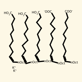 CCCCCCCC/C=C\CCCCCCCC(=O)O.CCCCCCCC/C=C\CCCCCCCC(=O)O.CCCCCCCC/C=C\CCCCCCCC(=O)O.CCCCCCCC/C=C\CCCCCCCC(=O)[O-].CCCCCCCC/C=C\CCCCCCCC(=O)[O-].[K+].[K+]